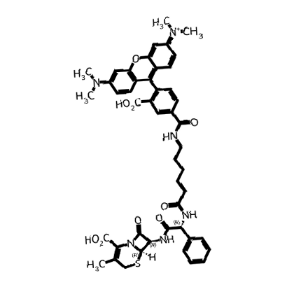 CC1=C(C(=O)O)N2C(=O)[C@@H](NC(=O)[C@H](NC(=O)CCCCCNC(=O)c3ccc(-c4c5ccc(=[N+](C)C)cc-5oc5cc(N(C)C)ccc45)c(C(=O)O)c3)c3ccccc3)[C@H]2SC1